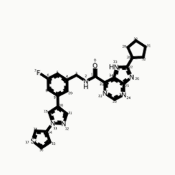 O=C(NCc1cc(F)cc(-c2cnn(-c3ccsc3)c2)c1)c1ncnc2nc(C3CCCC3)[nH]c12